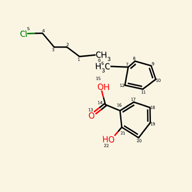 CCCCCCl.Cc1ccccc1.O=C(O)c1ccccc1O